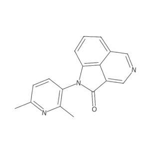 Cc1ccc(N2C(=O)c3cncc4cccc2c34)c(C)n1